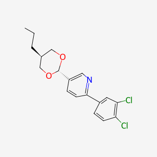 CCC[C@H]1CO[C@H](c2ccc(-c3ccc(Cl)c(Cl)c3)nc2)OC1